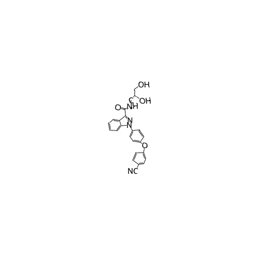 N#Cc1ccc(Oc2ccc(-n3nc(C(=O)NCC(O)CO)c4ccccc43)cc2)cc1